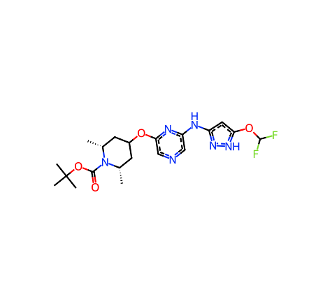 C[C@@H]1CC(Oc2cncc(Nc3cc(OC(F)F)[nH]n3)n2)C[C@H](C)N1C(=O)OC(C)(C)C